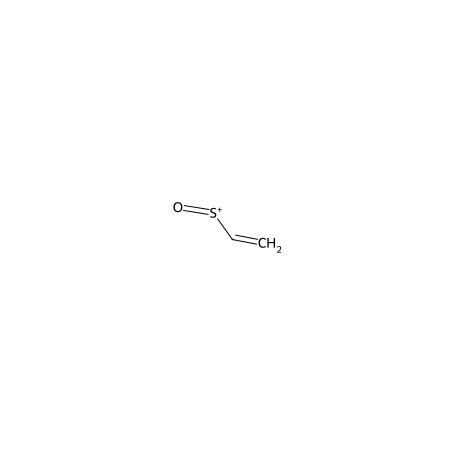 C=C[S+]=O